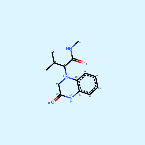 CNC(=O)C(C(C)C)N1CC(=O)Nc2ccccc21